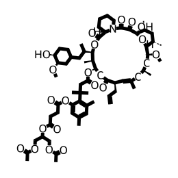 C=CC[C@@H]1/C=C(\C)C[C@H](C)C[C@H](OC)[C@H]2O[C@@](O)(C(=O)C(=O)N3CCCC[C@H]3C(=O)O[C@H](C(C)CC3CC[C@@H](O)[C@H](OC)C3)[C@H](C)[C@@H](OC(=O)CC(C)(C)c3c(C)cc(C)cc3OC(=O)CCC(=O)OC(COC(C)=O)COC(C)=O)CC1=O)[C@H](C)C[C@@H]2C